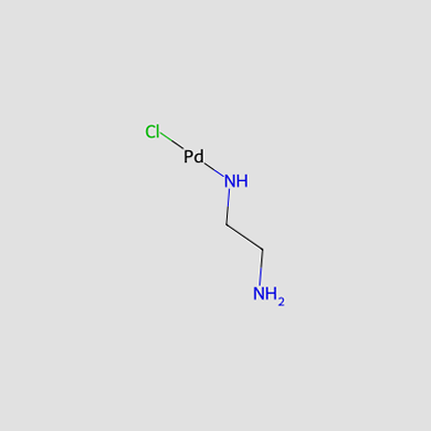 NCC[NH][Pd][Cl]